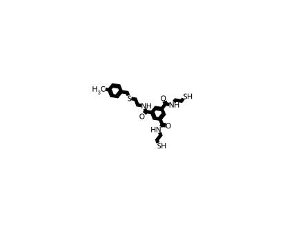 Cc1ccc(CSCCNC(=O)c2cc(C(=O)NCCS)cc(C(=O)NCCS)c2)cc1